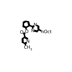 CCCCCCCCc1cnc(-c2ccccc2OC(=O)c2ccc(C)nc2)nc1